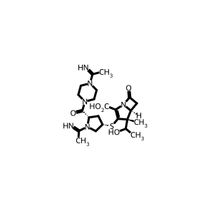 CC(=N)N1CCN(C(=O)[C@@H]2C[C@H](SC3=C(C(=O)O)N4C(=O)C[C@H]4[C@]3(C)C(C)O)CN2C(C)=N)CC1